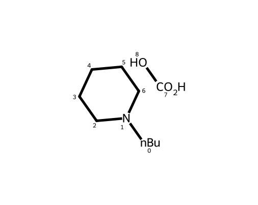 CCCCN1CCCCC1.O=C(O)O